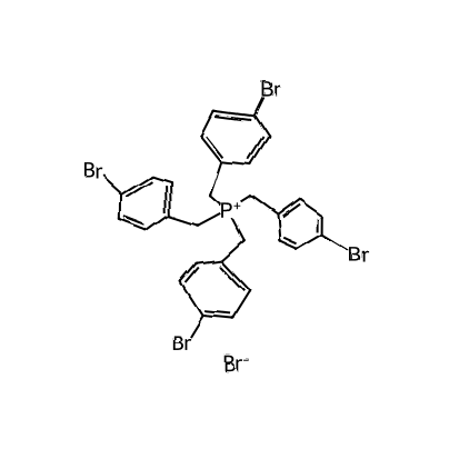 Brc1ccc(C[P+](Cc2ccc(Br)cc2)(Cc2ccc(Br)cc2)Cc2ccc(Br)cc2)cc1.[Br-]